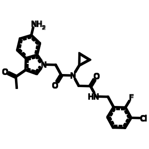 CC(=O)c1cn(CC(=O)N(CC(=O)NCc2cccc(Cl)c2F)C2CC2)c2cc(N)ccc12